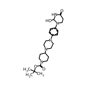 CC(C)(C)OC(=O)N1CCC(N2CCN(c3ccc(N4CCC(=O)NC4O)cc3)CC2)CC1